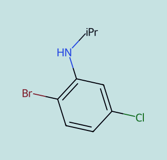 CC(C)Nc1cc(Cl)ccc1Br